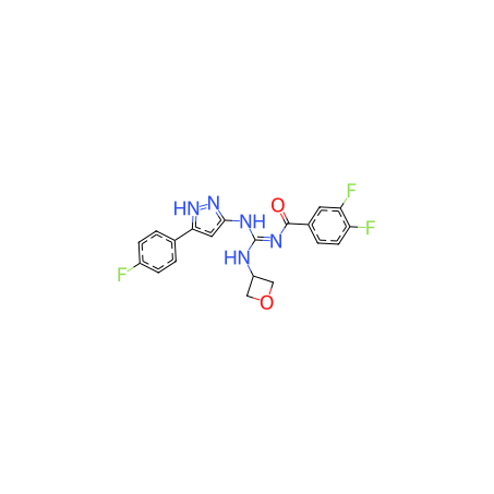 O=C(/N=C(\Nc1cc(-c2ccc(F)cc2)[nH]n1)NC1COC1)c1ccc(F)c(F)c1